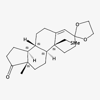 CSC[C@]12CCC3(C=C1CC[C@@H]1[C@@H]2CC[C@]2(C)C(=O)CC[C@@H]12)OCCO3